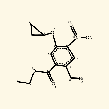 CCOC(=O)c1cc(OC2CC2)c([N+](=O)[O-])cc1CBr